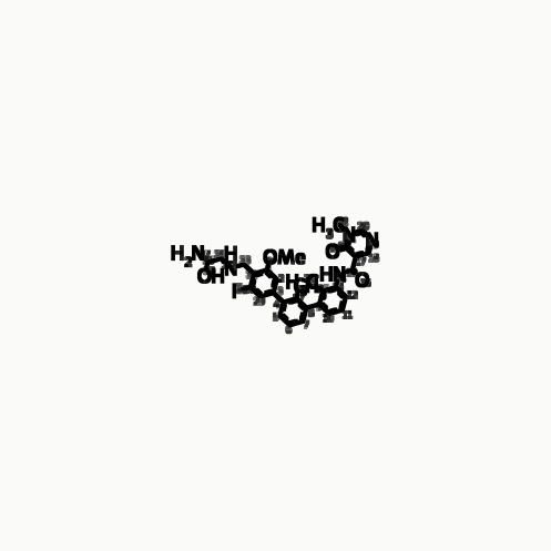 COc1cc(-c2cccc(-c3cccc(NC(=O)c4cncn(C)c4=O)c3C)c2C)cc(F)c1CNC[C@@H](N)O